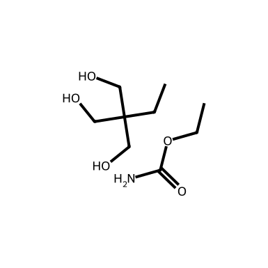 CCC(CO)(CO)CO.CCOC(N)=O